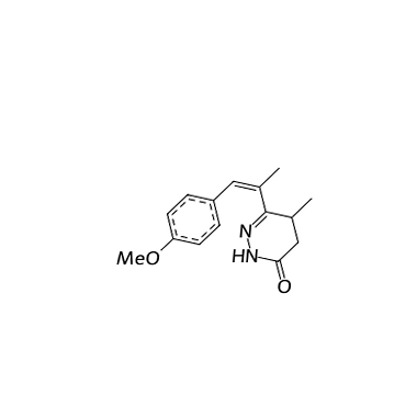 COc1ccc(C=C(C)C2=NNC(=O)CC2C)cc1